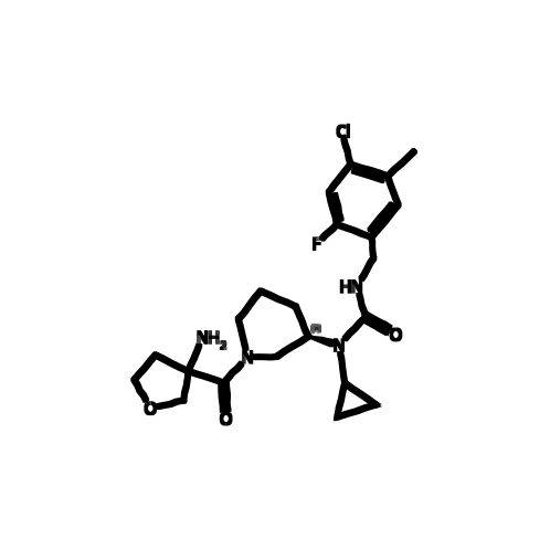 Cc1cc(CNC(=O)N(C2CC2)[C@@H]2CCCN(C(=O)C3(N)CCOC3)C2)c(F)cc1Cl